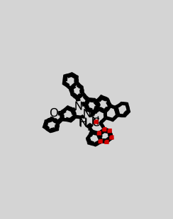 C=C(c1ccccc1)C1CC2=C(CCC=C2)c2cccc(-c3nc(-c4cc5c(cc4-n4c6ccccc6c6cc7ccccc7cc64)oc4ccccc45)nc(-c4cccc5ccccc45)n3)c21